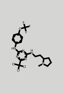 CN1CCCC1CCNc1nc(Nc2ccc(OC(F)(F)F)cc2)nc(C(Cl)(Cl)Cl)n1